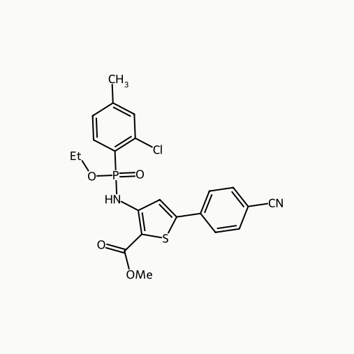 CCOP(=O)(Nc1cc(-c2ccc(C#N)cc2)sc1C(=O)OC)c1ccc(C)cc1Cl